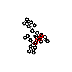 c1ccc(N(c2cccc(-c3ccc4c(c3)C3(c5ccccc5-4)c4ccccc4-n4c5ccc(-c6ccc7c(c6)C6(c8ccccc8-7)c7ccccc7-c7ccc(N(c8ccc(-c9cccc%10ccccc9%10)cc8)c8cccc(-c9ccc%10c(c9)C9(c%11ccccc%11-%10)c%10ccccc%10-n%10c%11ccccc%11c%11cccc9c%11%10)c8)cc76)cc5c5cccc3c54)c2)c2ccc3c(c2)C2(c4ccccc4-c4ccccc42)c2ccccc2-3)cc1